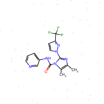 Cc1nc(-n2ccc(C(F)(F)F)n2)n(C(=O)Nc2cccnc2)c1C